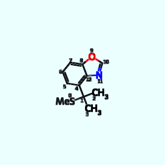 CSC(C)(C)c1cccc2ocnc12